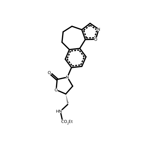 CCOC(=O)NC[C@H]1CN(c2ccc3c(c2)CCCc2cnoc2-3)C(=O)O1